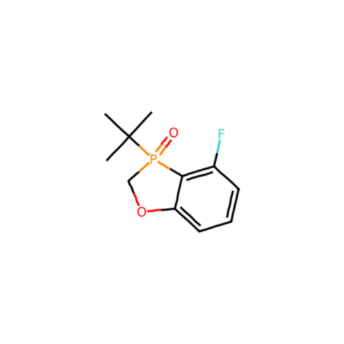 CC(C)(C)P1(=O)COc2cccc(F)c21